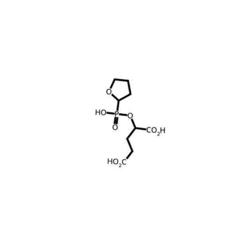 O=C(O)CCC(OP(=O)(O)C1CCCO1)C(=O)O